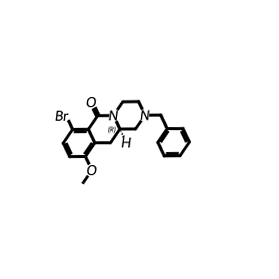 COc1ccc(Br)c2c1C[C@@H]1CN(Cc3ccccc3)CCN1C2=O